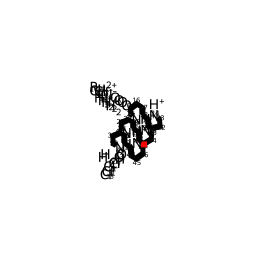 O.O.O.O.O.O.[Cl-].[Cl-].[Cl-].[Cl-].[Cl-].[Cl-].[Cl-].[Cl-].[Ru+2].c1ccc(-c2cccc[nH+]2)[nH+]c1.c1ccc(-c2cccc[nH+]2)[nH+]c1.c1ccc(-c2cccc[nH+]2)[nH+]c1